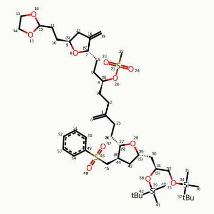 C=C(CC[C@@H](CC[C@@H]1O[C@@H](CCC2OCCO2)CC1=C)OS(C)(=O)=O)CC[C@@H]1O[C@H](C[C@@H](CO[Si](C)(C)C(C)(C)C)O[Si](C)(C)C(C)(C)C)C[C@H]1CS(=O)(=O)c1ccccc1